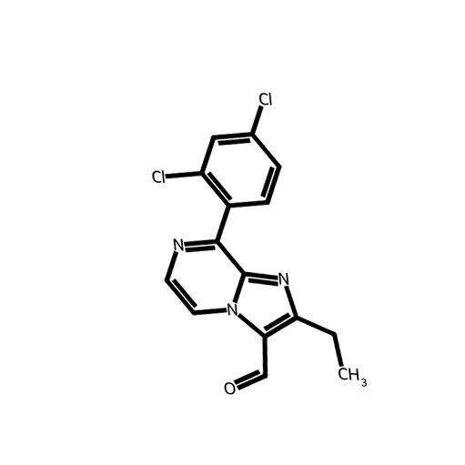 CCc1nc2c(-c3ccc(Cl)cc3Cl)nccn2c1C=O